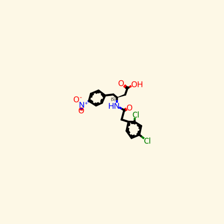 O=C(O)C[C@H](Cc1ccc([N+](=O)[O-])cc1)NC(=O)Cc1ccc(Cl)cc1Cl